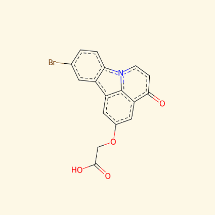 O=C(O)COc1cc2c(=O)ccn3c4ccc(Br)cc4c(c1)c23